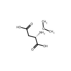 COC.N[C@@H](CC(=O)O)C(=O)O